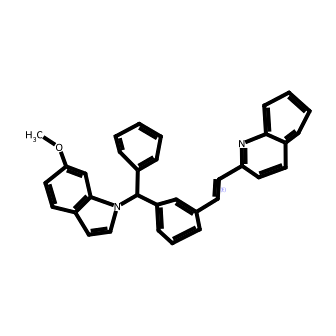 COc1ccc2ccn(C(c3ccccc3)c3cccc(/C=C/c4ccc5ccccc5n4)c3)c2c1